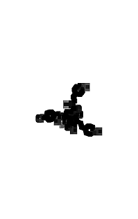 CS(=O)(=O)N[C@H](CCC1CCNCC1)C(=O)N1C[C@H](OCc2ccc(Cl)cc2)C[C@H]1C(=O)NCCC1CCNCC1